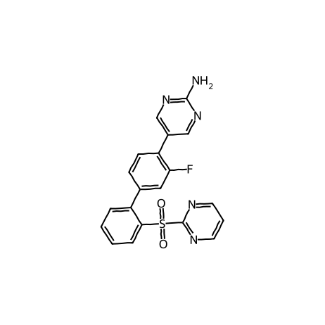 Nc1ncc(-c2ccc(-c3ccccc3S(=O)(=O)c3ncccn3)cc2F)cn1